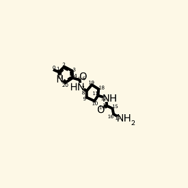 Cc1ccc(C(=O)NC2CCC(NC(=O)CCN)CC2)cn1